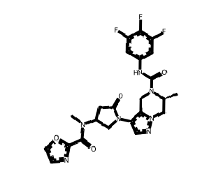 C[C@H]1Cn2ncc(N3CC(N(C)C(=O)c4ncco4)CC3=O)c2CN1C(=O)Nc1cc(F)c(F)c(F)c1